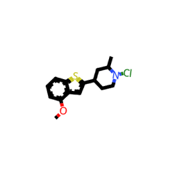 COc1cccc2sc(C3CCN(Cl)C(C)C3)cc12